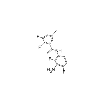 C=C(Nc1ccc(F)c(N)c1F)c1cc(C)cc(F)c1F